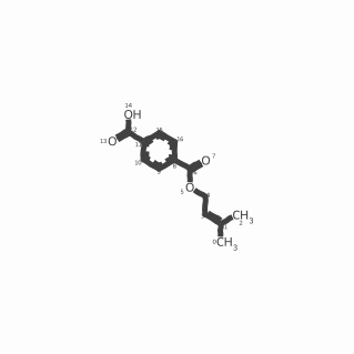 CC(C)=CCOC(=O)c1ccc(C(=O)O)cc1